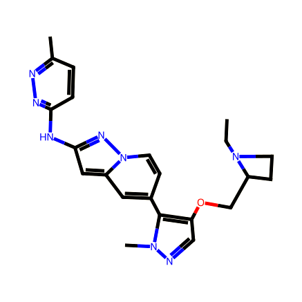 CCN1CCC1COc1cnn(C)c1-c1ccn2nc(Nc3ccc(C)nn3)cc2c1